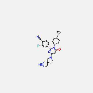 N#Cc1ccc(-c2nc(N3CCC4(CCNC4)C3)cc(=O)n2-c2ccc(C3CC3)cc2)cc1F